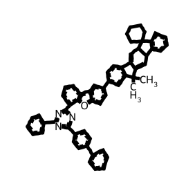 CC1(C)C2=CC3c4ccccc4C4(CCCCC4)C3C=C2c2ccc(-c3ccc4oc5c(-c6nc(-c7ccccc7)nc(-c7ccc(-c8ccccc8)cc7)n6)cccc5c4c3)cc21